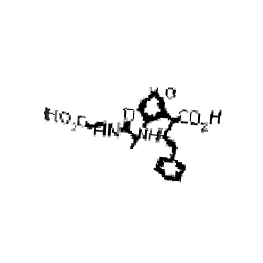 CC(Nc1ccccc1C(CCc1ccccc1)C(=O)O)C(=O)NCCC(=O)O.O